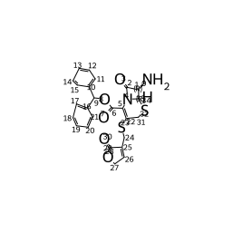 N[C@@H]1C(=O)N2C(C(=O)OC(c3ccccc3)c3ccccc3)=C(SCC3=CCOC3=O)CS[C@H]12